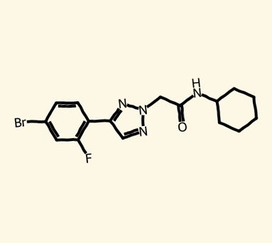 O=C(Cn1ncc(-c2ccc(Br)cc2F)n1)NC1CCCCC1